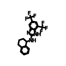 FC(F)(F)c1cc(C(F)(F)F)c2[nH]c(NC3CCCc4ccccc43)nc2c1